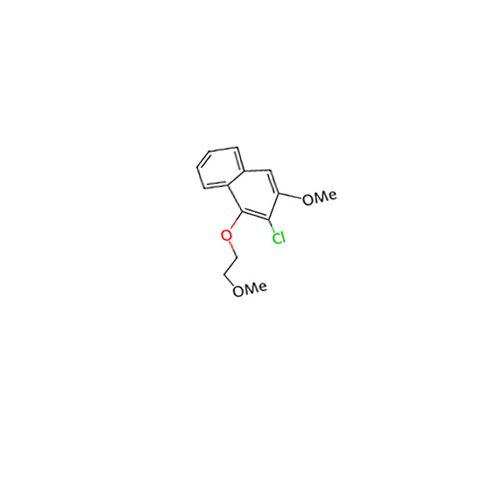 COCCOc1c(Cl)c(OC)cc2ccccc12